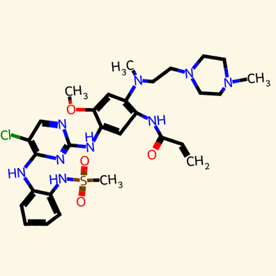 C=CC(=O)Nc1cc(Nc2ncc(Cl)c(Nc3ccccc3NS(C)(=O)=O)n2)c(OC)cc1N(C)CCN1CCN(C)CC1